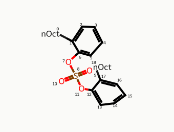 CCCCCCCCc1ccccc1OS(=O)(=O)Oc1ccccc1CCCCCCCC